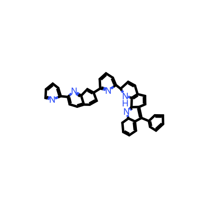 C1=CCC2N=c3c4c(ccc3=C(c3ccccc3)C2=C1)C=CC(c1cccc(-c2ccc3ccc(-c5ccccn5)nc3c2)n1)N4